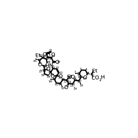 CCC(C(=O)O)[C@H]1CC[C@H](C)[C@H]([C@@H](C)[C@H](O)[C@H](C)C(=O)[C@H](CC)[C@H]2O[C@]3(C=CC(NC(=O)c4ccco4)[C@]4(CC[C@@](C)([C@H]5CC[C@](O)(CC)[C@H](C)O5)O4)O3)[C@H](C)C[C@@H]2C)O1